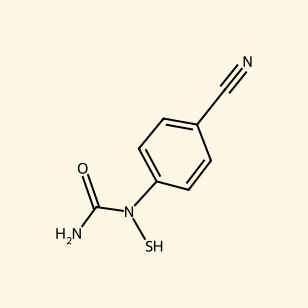 N#Cc1ccc(N(S)C(N)=O)cc1